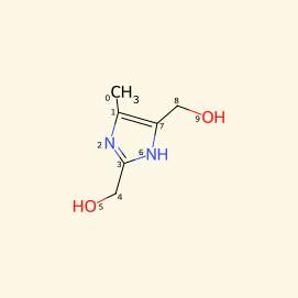 Cc1nc(CO)[nH]c1CO